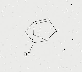 BrC1CC2=CCC1C2